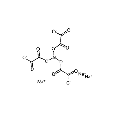 O=C([O-])C(=O)ON(OC(=O)C(=O)[O-])OC(=O)C(=O)[O-].[Na+].[Na+].[Na+]